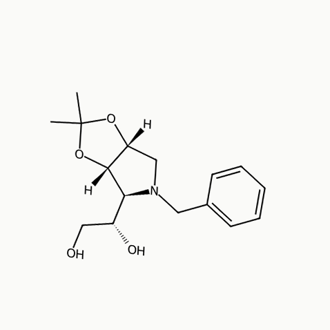 CC1(C)O[C@H]2[C@H]([C@H](O)CO)N(Cc3ccccc3)C[C@H]2O1